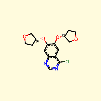 Clc1ncnc2cc(O[C@@H]3CCOC3)c(O[C@@H]3CCOC3)cc12